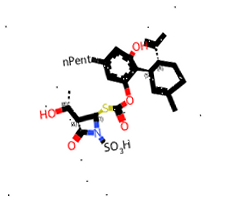 C=C(C)[C@@H]1CCC(C)=C[C@H]1c1c(O)cc(CCCCC)cc1OC(=O)S[C@@H]1[C@@H]([C@@H](C)O)C(=O)N1S(=O)(=O)O